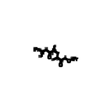 CC(C)OCC(=O)C(C)CN(C)C(=O)CN(C)C(C)C